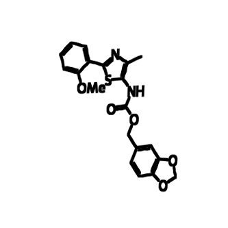 COc1ccccc1-c1nc(C)c(NC(=O)OCc2ccc3c(c2)OCO3)s1